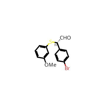 COc1cccc(S[C@H](C=O)c2ccc(Br)cc2)c1